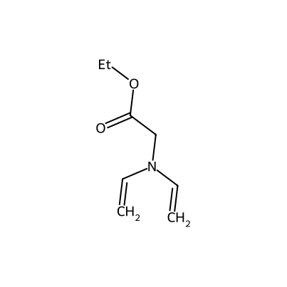 C=CN(C=C)CC(=O)OCC